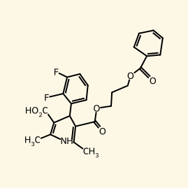 CC1=C(C(=O)O)C(c2cccc(F)c2F)C(C(=O)OCCCOC(=O)c2ccccc2)=C(C)N1